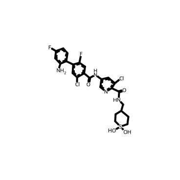 Nc1cc(F)ccc1-c1cc(Cl)c(C(=O)Nc2cnc(C(=O)NCC3CCS(O)(O)CC3)c(Cl)c2)cc1F